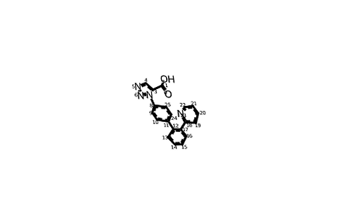 O=C(O)c1cnnn1-c1ccc(-c2ccccc2-c2ccccn2)cc1